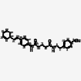 CC(C)(C)c1ccc(CCNC(=O)CCCC(=O)Nc2ccc(/C=C/c3ccccc3)cc2)cc1